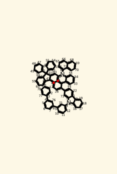 c1ccc(-c2cccc(-c3cccc(-n4c5ccccc5c5ccc(-c6ccccc6-c6ccccc6N(c6ccc7c(c6)C(c6ccccc6)(c6ccccc6)c6ccccc6-7)c6cccc7ccccc67)cc54)c3)c2)cc1